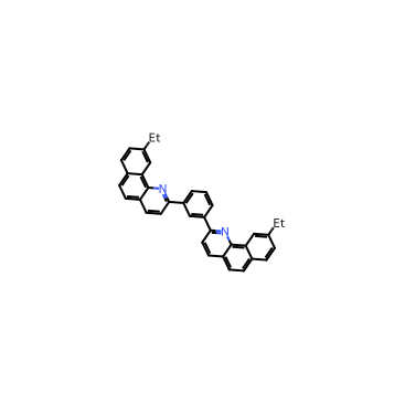 CCc1ccc2ccc3ccc(-c4cccc(-c5ccc6ccc7ccc(CC)cc7c6n5)c4)nc3c2c1